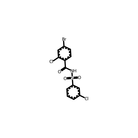 O=C(NS(=O)(=O)c1cccc(Cl)c1)c1ccc(Br)cc1Cl